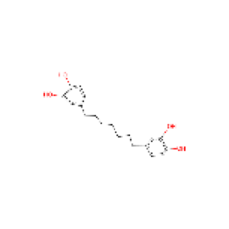 Oc1ccc(CCCCCCCc2ccc(O)c(O)c2)cc1O